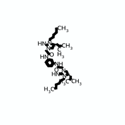 CCCCCCN1C(=N)N(CC(=O)Nc2cccc(NC(=O)CN3C[C@H](CC(C)C)N(CCCCCC)C3=N)c2)C[C@@H]1CC(C)C